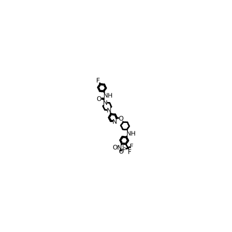 O=C(Nc1ccc(F)cc1)N1CCN(c2ccnc(O[C@H]3CC[C@H](Nc4ccc([N+](=O)[O-])c(C(F)(F)F)c4)CC3)c2)CC1